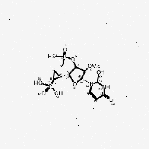 COC1C(OP(C)(=O)S)[C@@H](C2CC2P(=O)(O)O)O[C@H]1N1C=CC(=O)NC1O